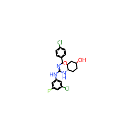 O=C(/N=C(/Nc1cc(F)cc(Cl)c1)N[C@H]1CC[C@H](O)CC1)c1ccc(Cl)cc1